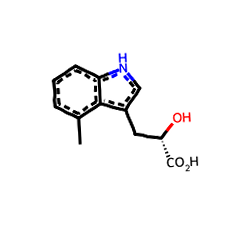 Cc1cccc2[nH]cc(C[C@H](O)C(=O)O)c12